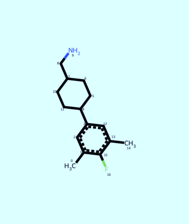 Cc1cc(C2CCC(CN)CC2)cc(C)c1F